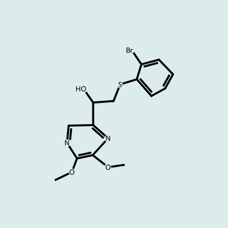 COc1ncc(C(O)CSc2ccccc2Br)nc1OC